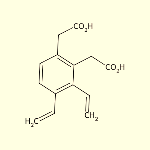 C=Cc1ccc(CC(=O)O)c(CC(=O)O)c1C=C